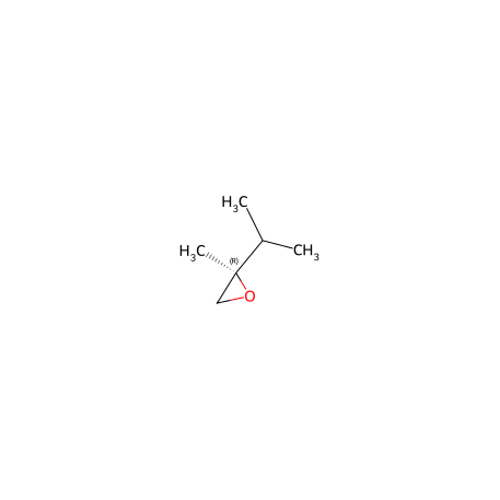 CC(C)[C@]1(C)CO1